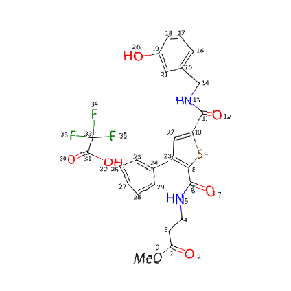 COC(=O)CCNC(=O)c1sc(C(=O)NCc2cccc(O)c2)cc1-c1ccccc1.O=C(O)C(F)(F)F